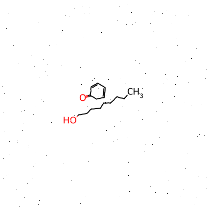 CCCCCCCCCO.O=C1C=CC=CC1